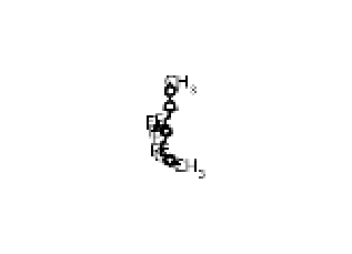 Cc1ccc(OC(F)(F)CCc2ccc(CCC3CCC(C4CCC(C)CC4)CC3)c(C(F)(F)F)c2F)cc1